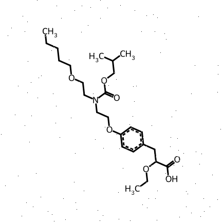 CCCCCOCCN(CCOc1ccc(CC(OCC)C(=O)O)cc1)C(=O)OCC(C)C